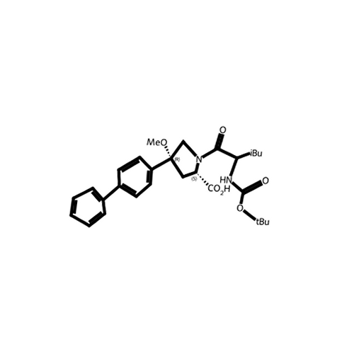 CCC(C)C(NC(=O)OC(C)(C)C)C(=O)N1C[C@](OC)(c2ccc(-c3ccccc3)cc2)C[C@H]1C(=O)O